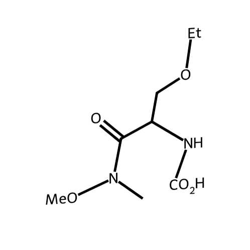 CCOCC(NC(=O)O)C(=O)N(C)OC